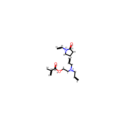 C=CCN(CC=C)CCOC(=O)C(=C)C.C=CN1CCCC1=O